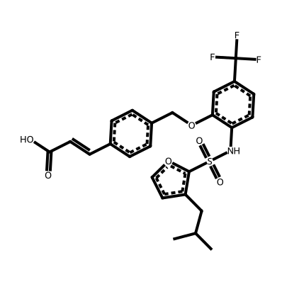 CC(C)Cc1ccoc1S(=O)(=O)Nc1ccc(C(F)(F)F)cc1OCc1ccc(/C=C/C(=O)O)cc1